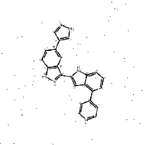 c1cc(-c2ccncc2)c2cc(-c3n[nH]c4ccc(-c5cn[nH]c5)cc34)[nH]c2c1